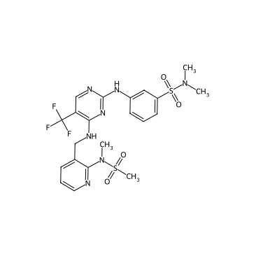 CN(c1ncccc1CNc1nc(Nc2cccc(S(=O)(=O)N(C)C)c2)ncc1C(F)(F)F)S(C)(=O)=O